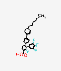 CCCCCCCC1CCC(c2ccc(-c3ccc(C(=O)O)c(F)c3-c3cc(F)c(F)c(F)c3)cc2)CC1